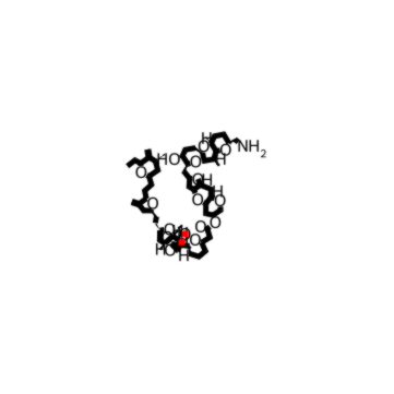 C=C1C[C@H](CC[C@]23C[C@H]4O[C@H]([C@@H](OC)[C@H]4O2)[C@H]([C@@H]2CCCC(CC(=O)O[C@H]4CO[C@H]5C[C@H]6OC(C[C@@H]7O[C@@]8(CC[C@@H]7O)C[C@H](C)[C@@H]7O[C@H](CN)CC[C@@H]7O8)CC6OC5C4)O2)O3)OC1CCC1C[C@@H](C)C(=C)C(CC)O1